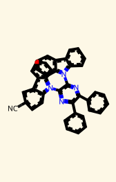 N#Cc1ccc2c(c1)c1ccccc1n2-c1nc(-c2ccccc2)c(-c2ccccc2)nc1-n1c2ccccc2c2ccccc21